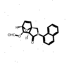 O=CO[C@H]1[C@@H]2C=C[C@@]3(CN(c4cccc5ccccc45)C(=O)[C@@H]13)O2